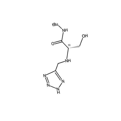 CC(C)(C)NC(=O)[C@H](CO)NCc1nn[nH]n1